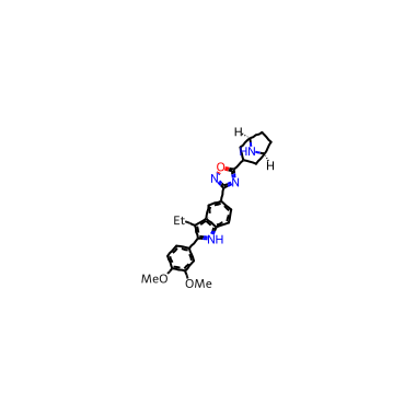 CCc1c(-c2ccc(OC)c(OC)c2)[nH]c2ccc(-c3noc(C4C[C@H]5CC[C@@H](C4)N5)n3)cc12